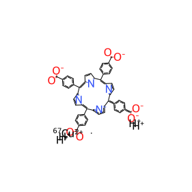 O=C([O-])c1ccc(C2=C3C=CC(=N3)C(c3ccc(C(=O)[O-])cc3)=C3C=CC(=N3)C(=c3ccc(=C([O-])[O-])cc3)c3ccc([n-]3)C(c3ccc(C(=O)[O-])cc3)=C3C=CC2=N3)cc1.[67Cu+2].[H+].[H+].[H+].[H+]